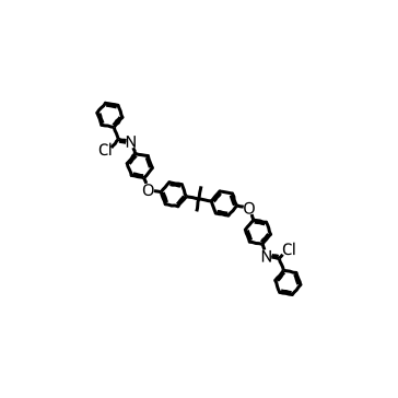 CC(C)(c1ccc(Oc2ccc(/N=C(\Cl)c3ccccc3)cc2)cc1)c1ccc(Oc2ccc(/N=C(\Cl)c3ccccc3)cc2)cc1